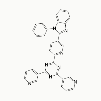 c1ccc(-n2c(-c3ccc(-c4nc(-c5cccnc5)nc(-c5cccnc5)n4)nc3)nc3ccccc32)cc1